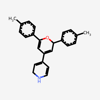 Cc1ccc(C2=CC(C3=CCNC=C3)=CC(c3ccc(C)cc3)O2)cc1